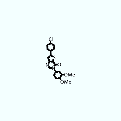 COc1ccc(-n2cnc3cc(-c4ccc(Cl)cc4)sc3c2=O)cc1OC